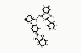 N/C(=N\C(=N/Cc1ccccc1-c1ccc(C2Nc3ccccc3O2)cc1)c1ccccc1)c1ccccc1